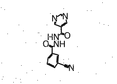 N#Cc1cccc(C(=O)NNC(=O)c2cncnc2)c1